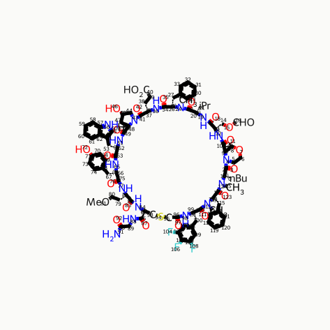 CCCC[C@H]1C(=O)N2CCOC[C@@H]2C(=O)N[C@@H](COC=O)C(=O)N[C@@H](C(C)C)C(=O)N(C)[C@@H](Cc2ccccc2)C(=O)N[C@@H](CCC(=O)O)C(=O)N2C[C@H](O)C[C@@H]2C(=O)N[C@@H](Cc2c[nH]c3ccccc23)C(=O)N[C@@H](Cc2ccc(O)cc2)C(=O)N[C@@H](CCOC)C(=O)N[C@H](C(=O)NCC(N)=O)CSCC(=O)N[C@@H](Cc2cc(F)c(F)c(F)c2)C(=O)N(C)[C@@H](Cc2ccccc2)C(=O)N1C